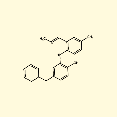 C/N=C/c1cc(C)ccc1Pc1cc(CC2C=CC=CC2)ccc1O